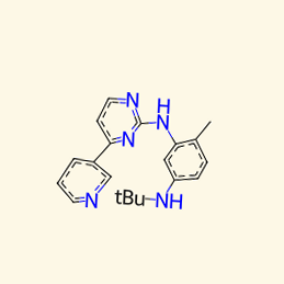 Cc1ccc(NC(C)(C)C)cc1Nc1nccc(-c2cccnc2)n1